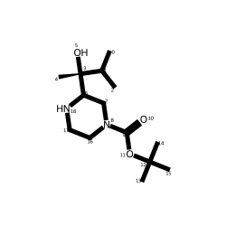 CC(C)[C@@](C)(O)C1CN(C(=O)OC(C)(C)C)CCN1